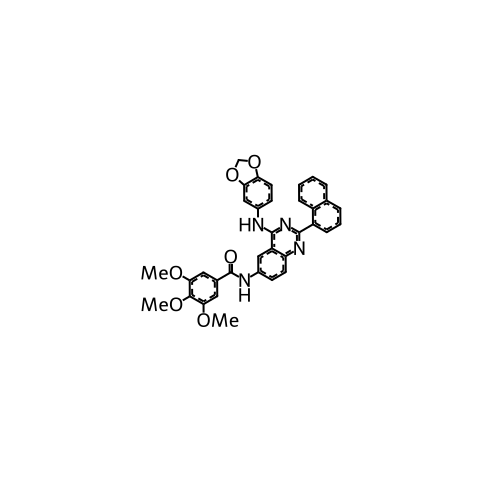 COc1cc(C(=O)Nc2ccc3nc(-c4cccc5ccccc45)nc(Nc4ccc5c(c4)OCO5)c3c2)cc(OC)c1OC